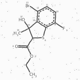 CCOC(=O)C1Sc2c(F)ccc(Br)c2C1(C)O